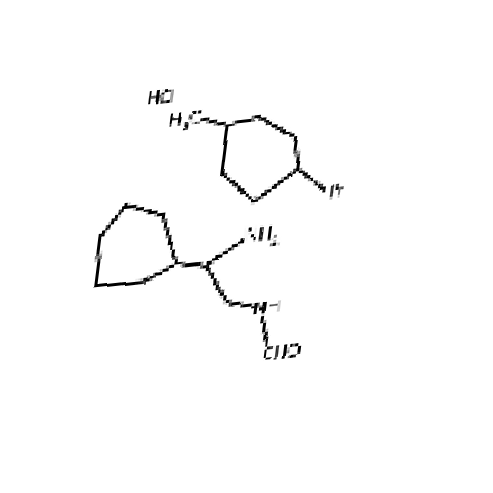 CC1CCC(C(C)C)CC1.Cl.NC(CNC=O)C1CCCCC1